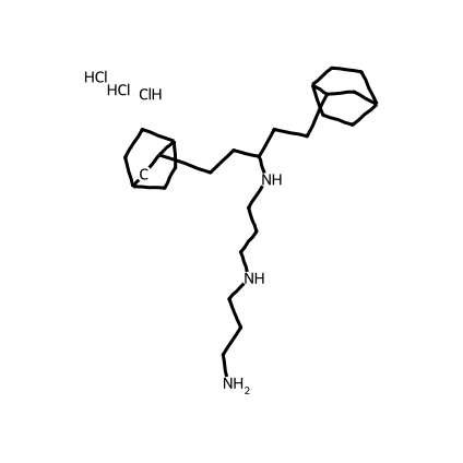 Cl.Cl.Cl.NCCCNCCCNC(CCC1CC2CCC1CC2)CCC1CC2CCC1CC2